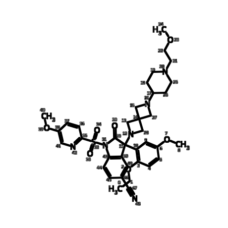 CCOc1ccc(OC)cc1C1(N2CC3(CN(C4CCN(CCOC)CC4)C3)C2)C(=O)N(S(=O)(=O)c2ccc(OC)cn2)c2ccc(C#N)cc21